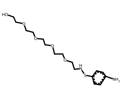 Nc1ccc(SNCCOCCOCCOCCOCCO)cc1